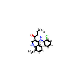 CCCC(=O)c1cnc2c(C)cccc2c1Nc1ccccc1Cl